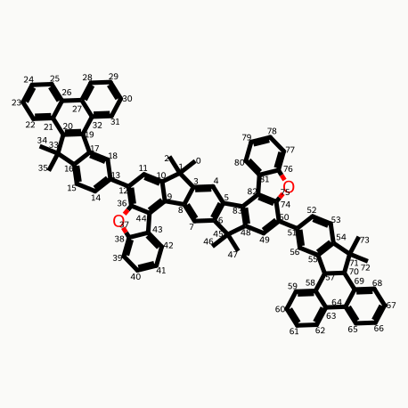 CC1(C)c2cc3c(cc2-c2c1cc(-c1ccc4c(c1)-c1c(c5ccccc5c5ccccc15)C4(C)C)c1oc4ccccc4c21)C(C)(C)c1cc(-c2ccc4c(c2)C2c5ccccc5-c5ccccc5C2C4(C)C)c2oc4ccccc4c2c1-3